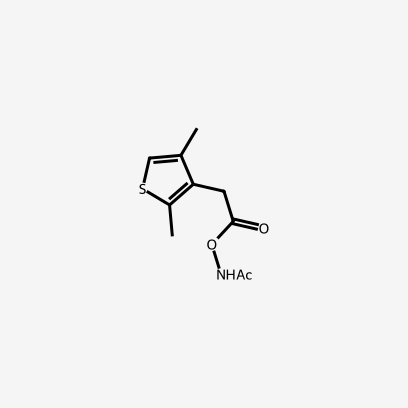 CC(=O)NOC(=O)Cc1c(C)csc1C